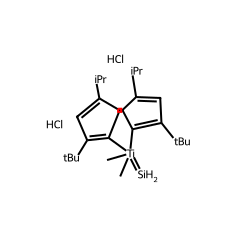 CC(C)C1=CC(C(C)(C)C)=[C]([Ti]([CH3])([CH3])(=[SiH2])[C]2=C(C(C)(C)C)C=C(C(C)C)C2)C1.Cl.Cl